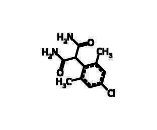 Cc1cc(Cl)cc(C)c1C(C(N)=O)C(N)=O